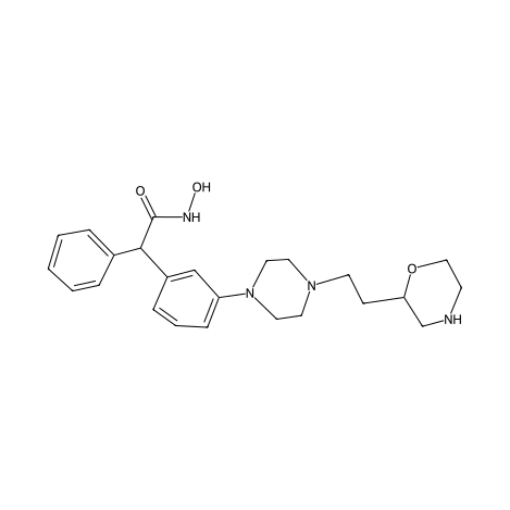 O=C(NO)C(c1ccccc1)c1cccc(N2CCN(CCC3CNCCO3)CC2)c1